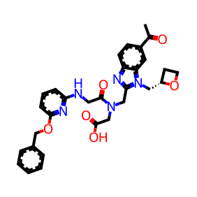 CC(=O)c1ccc2nc(CN(CC(=O)O)C(=O)CNc3cccc(OCc4ccccc4)n3)n(C[C@@H]3CCO3)c2c1